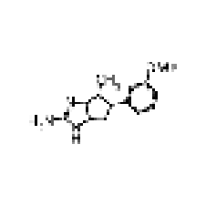 COc1cccc([C@H]2CC3NC(N)=NC3[C@H]2C)c1